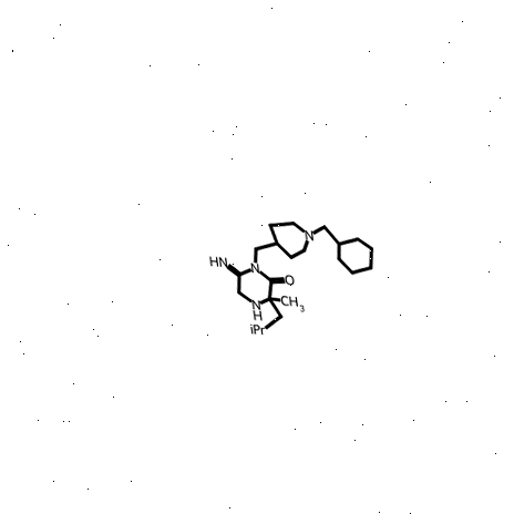 CC(C)CC1(C)NCC(=N)N(CC2CCN(CC3CCCCC3)CC2)C1=O